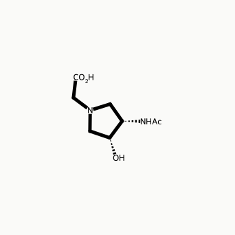 CC(=O)N[C@H]1CN(CC(=O)O)C[C@H]1O